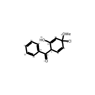 COC1(Cl)C=CC(C(=O)c2ccccc2)C(O)=C1